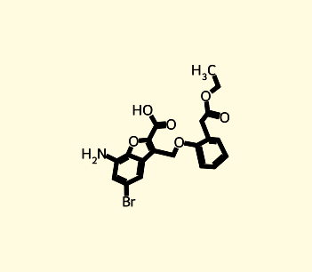 CCOC(=O)Cc1ccccc1OCc1c(C(=O)O)oc2c(N)cc(Br)cc12